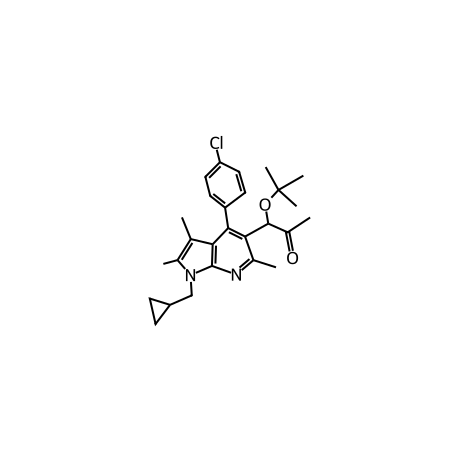 CC(=O)C(OC(C)(C)C)c1c(C)nc2c(c(C)c(C)n2CC2CC2)c1-c1ccc(Cl)cc1